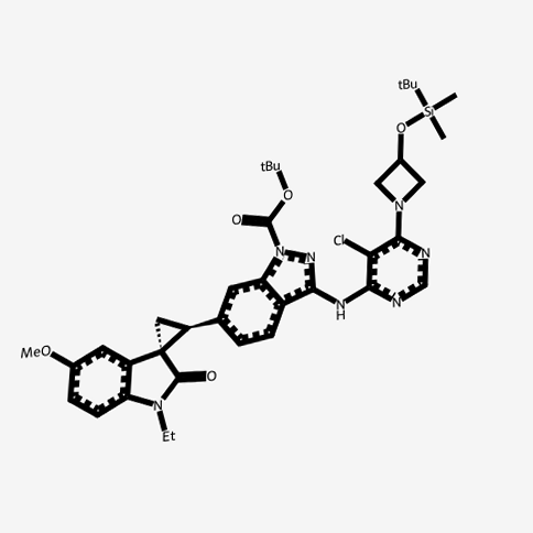 CCN1C(=O)[C@@]2(C[C@H]2c2ccc3c(Nc4ncnc(N5CC(O[Si](C)(C)C(C)(C)C)C5)c4Cl)nn(C(=O)OC(C)(C)C)c3c2)c2cc(OC)ccc21